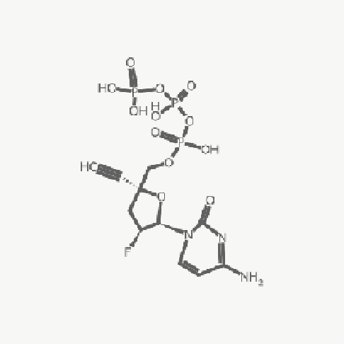 C#C[C@@]1(COP(=O)(O)OP(=O)(O)OP(=O)(O)O)C[C@H](F)[C@H](n2ccc(N)nc2=O)O1